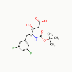 CC(C)(C)OC(=O)N[C@@H](Cc1cc(F)cc(F)c1)[C@@H](O)CC(=O)O